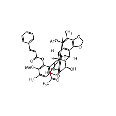 COc1c(C)cc2c(c1OC(=O)/C=C/c1ccccc1)C1NC(C2)[C@H](O)N2[C@H]1[C@@H]1SCC(NC(=O)C(F)(F)F)C(=O)OC[C@H]2c2c3c(c(C)c(OC(C)=O)c21)OCO3